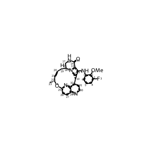 COc1c(F)cccc1Nc1c2cn3c1C(=O)NC[C@@H]3C/C=C\[C@H](C)Oc1ccc3nccc-2c3n1